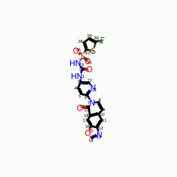 O=C(Nc1ccc(-n2ccc3cc4ncoc4cc3c2=O)nc1)NS(=O)(=O)c1ccc(F)s1